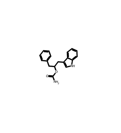 NC(=O)OC(Cc1ccccc1)Cc1c[nH]c2ccccc12